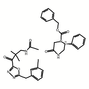 CC(=O)NCC(C)(C)C(=O)c1nnc(Cc2cccc(C)c2)o1.O=C1CN(C(=O)OCc2ccccc2)[C@@H](c2ccccc2)CN1